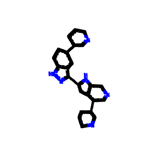 c1cncc(-c2ccc3[nH]nc(-c4cc5c(-c6cccnc6)cncc5[nH]4)c3c2)c1